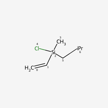 C=C[Si](C)(Cl)CC(C)C